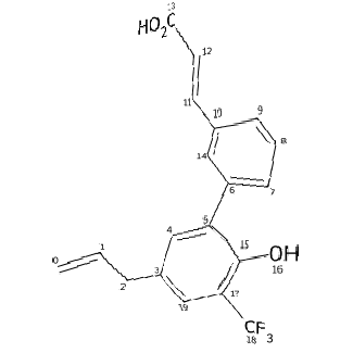 C=CCc1cc(-c2cccc(/C=C/C(=O)O)c2)c(O)c(C(F)(F)F)c1